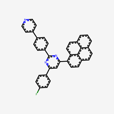 Fc1ccc(-c2cc(-c3ccc4ccc5cccc6ccc3c4c56)nc(-c3ccc(-c4ccncc4)cc3)n2)cc1